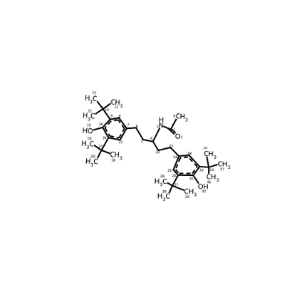 CC(=O)NC(CCc1cc(C(C)(C)C)c(O)c(C(C)(C)C)c1)CCc1cc(C(C)(C)C)c(O)c(C(C)(C)C)c1